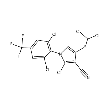 N#Cc1c(SC(Cl)Cl)cn(-c2c(Cl)cc(C(F)(F)F)cc2Cl)c1Cl